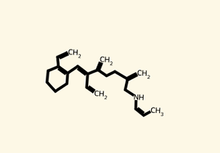 C=CC1=C(/C=C(\C=C)C(=C)CCC(=C)CN/C=C\C)CCCC1